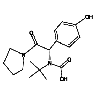 CC(C)(C)N(C(=O)O)[C@H](C(=O)N1CCCC1)c1ccc(O)cc1